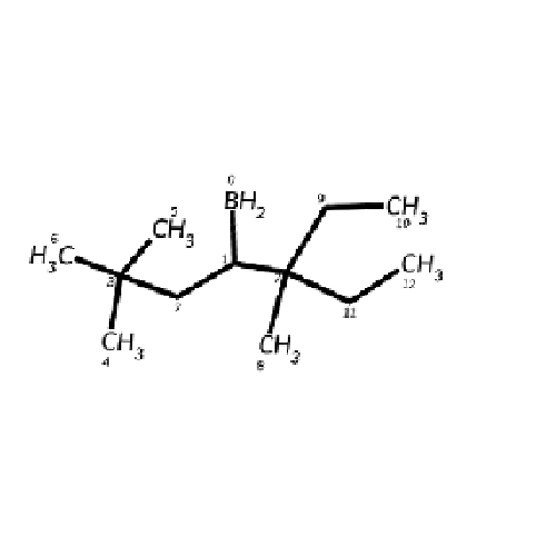 BC(CC(C)(C)C)C(C)(CC)CC